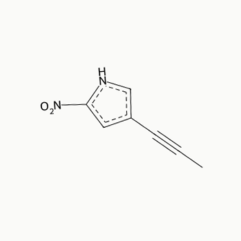 CC#Cc1c[nH]c([N+](=O)[O-])c1